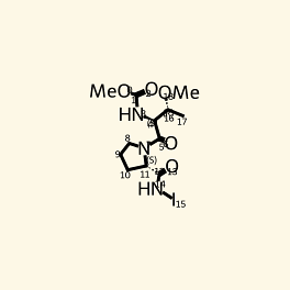 COC(=O)N[C@H](C(=O)N1CCC[C@H]1C(=O)NI)[C@@H](C)OC